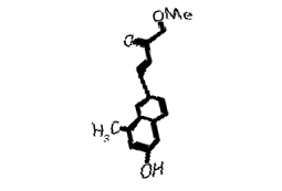 COCC(=O)/C=C/c1ccc2cc(O)cc(C)c2c1